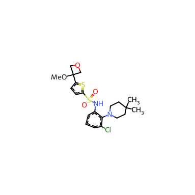 COC1(c2ccc(S(=O)(=O)Nc3cccc(Cl)c3N3CCC(C)(C)CC3)s2)COC1